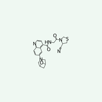 N#CC1CSCN1C(=O)CNC(=O)c1ccnc2ccc(N3CC4CC(C3)O4)cc12